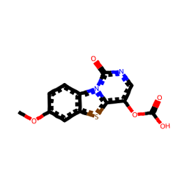 COc1ccc2c(c1)sc1c(OC(=O)O)cnc(=O)n12